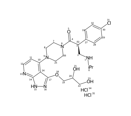 CC(C)NC[C@@H](C(=O)N1CCN(c2ccnc3[nH]nc(OCC(O)CO)c23)CC1)c1ccc(Cl)cc1.Cl.Cl